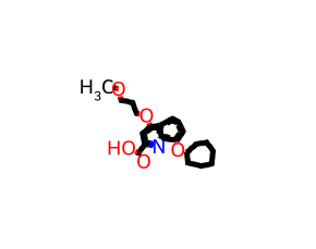 COCCCOc1cc(C(=O)O)nc2c(OC3CCCCCC3)cccc12